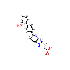 O=C(O)CSc1nc2nc(-c3ccc(-c4ccccc4O)cc3)c(Cl)cc2[nH]1